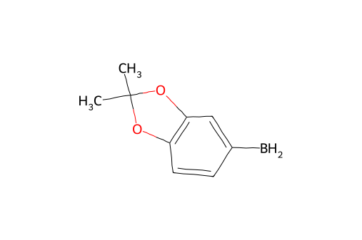 Bc1ccc2c(c1)OC(C)(C)O2